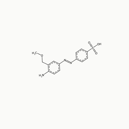 COCc1cc(N=Nc2ccc(S(=O)(=O)O)cc2)ccc1N